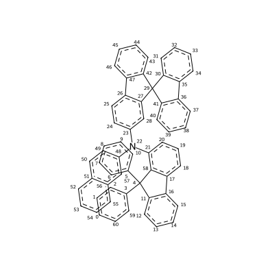 c1ccc(C2(c3ccccc3)c3ccccc3-c3cccc(N(c4ccc5c(c4)C4(c6ccccc6-c6ccccc64)c4ccccc4-5)c4ccc5ccccc5c4)c32)cc1